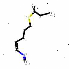 C=N/C=C\CCCSC(C)CC